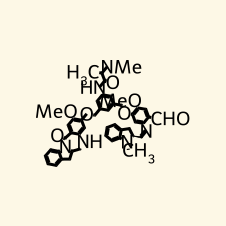 CNC(C)C(=O)Nc1cc(COc2cc(/N=C\[C@@H]3Cc4ccccc4N3C)c(C=O)cc2OC)cc(COc2cc3c(cc2OC)C(=O)N2c4ccccc4CC2CN3)c1